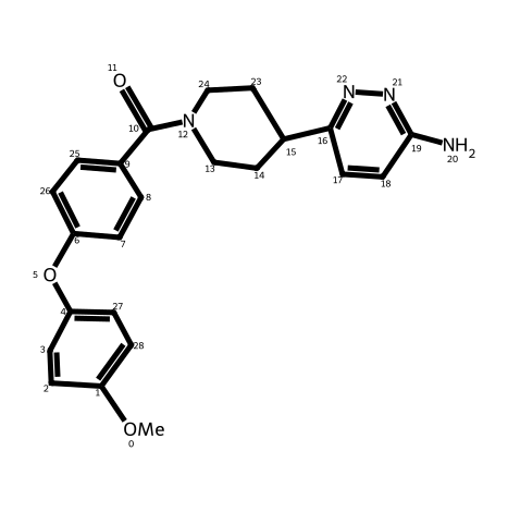 COc1ccc(Oc2ccc(C(=O)N3CCC(c4ccc(N)nn4)CC3)cc2)cc1